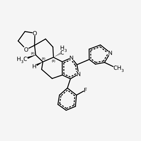 Cc1cc(-c2nc(-c3ccccc3F)c3c(n2)[C@]2(C)CCC4(OCCO4)[C@H](C)[C@H]2CC3)ccn1